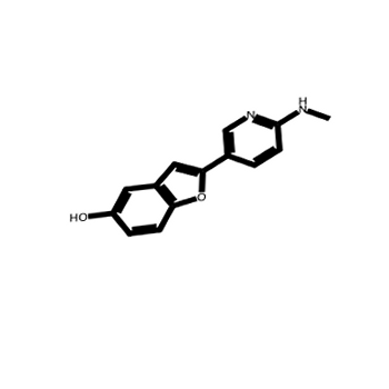 CNc1ccc(-c2cc3cc(O)ccc3o2)cn1